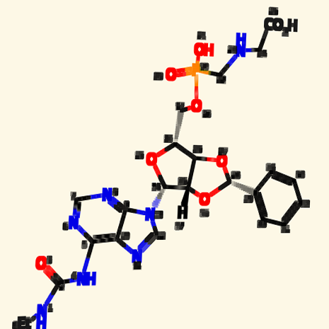 CCNC(=O)Nc1ncnc2c1ncn2[C@@H]1O[C@H](COP(=O)(O)CNCC(=O)O)C2O[C@H](c3ccccc3)O[C@@H]21